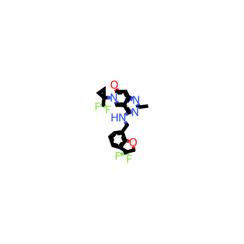 Cc1nc(NCc2cccc3c2OCC3(F)F)c2cn(C3(C(F)F)CC3)c(=O)cc2n1